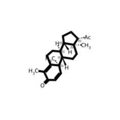 CC(=O)[C@H]1CC[C@H]2[C@@H]3CCC4=C(C)C(=O)C=C[C@]4(C)[C@H]3CC[C@]12C